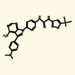 CN(C)c1ccc(-c2nn(-c3ccc(NC(=O)Nc4cc(C(C)(C)C)on4)cc3)c3ncnc(N)c23)cc1